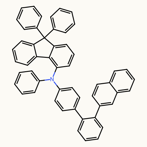 c1ccc(N(c2ccc(-c3ccccc3-c3ccc4ccccc4c3)cc2)c2cccc3c2-c2ccccc2C3(c2ccccc2)c2ccccc2)cc1